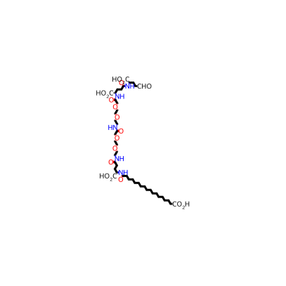 O=CCC[C@H](NC(=O)CC[C@H](NC(=O)COCCOCCNC(=O)COCCOCCNC(=O)CCC(NC(=O)CCCCCCCCCCCCCCCCC(=O)O)C(=O)O)C(=O)O)C(=O)O